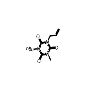 C=CCn1c(=O)n(C)c(=O)n(CCCC)c1=O